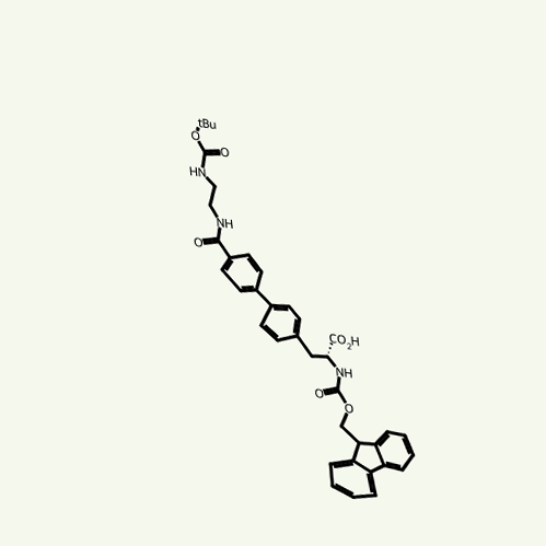 CC(C)(C)OC(=O)NCCNC(=O)c1ccc(-c2ccc(C[C@@H](NC(=O)OCC3c4ccccc4-c4ccccc43)C(=O)O)cc2)cc1